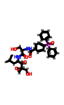 CC(C)CC(NC(=O)C(CO)NC(=O)c1ccc(P(=O)(c2ccccc2)c2ccccc2)cc1)C(=O)C1(CO)CO1